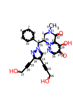 CN1C[C@H]([C@H](c2ccccc2)n2cc(C#CCO)c(C#CCO)n2)n2ncc(=O)c(O)c2C1=O